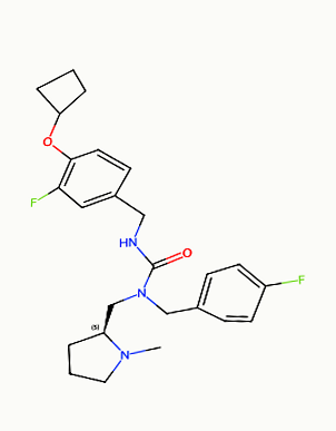 CN1CCC[C@H]1CN(Cc1ccc(F)cc1)C(=O)NCc1ccc(OC2CCC2)c(F)c1